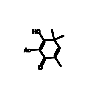 CC(=O)C1=C(O)C(C)(C)C=C(C)C1=O